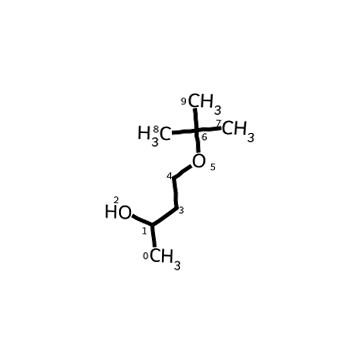 CC(O)CCOC(C)(C)C